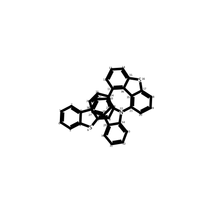 c1ccc2c(c1)sc1ccc(-c3cccc4sc5cccc(-n6c7ccccc7c7ccccc76)c5c34)cc12